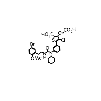 COc1ccc(Br)cc1CCNC(=O)N(c1cccc(-c2sc(C(=O)O)c(OCC(=O)O)c2Cl)c1)C1CCCCC1